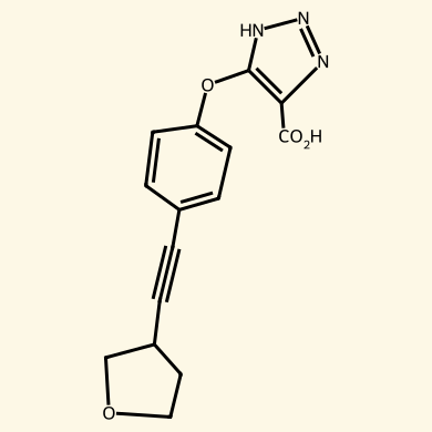 O=C(O)c1nn[nH]c1Oc1ccc(C#CC2CCOC2)cc1